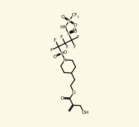 C=C(CO)C(=O)OCCC1CCN(S(=O)(=O)C(F)(F)C(F)(F)C(F)(F)S(=O)(=O)NS(=O)(=O)C(F)(F)F)CC1